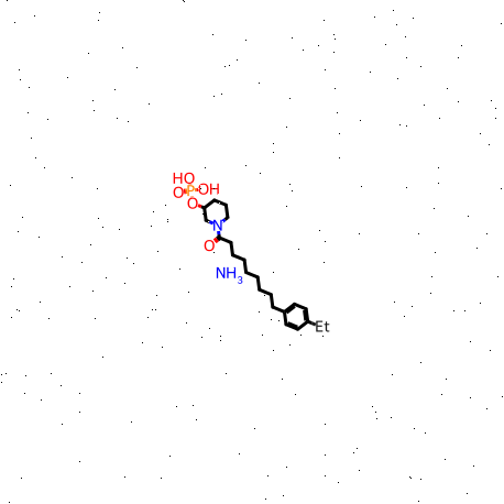 CCc1ccc(CCCCCCCCC(=O)N2CCCC(OP(=O)(O)O)C2)cc1.N